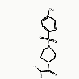 CCC(CC)C(=O)N1CCN(S(=O)(=O)c2ccc(C(C)(C)C)cc2)CC1